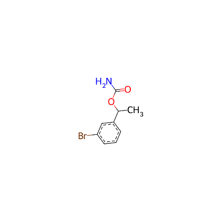 CC(OC(N)=O)c1cccc(Br)c1